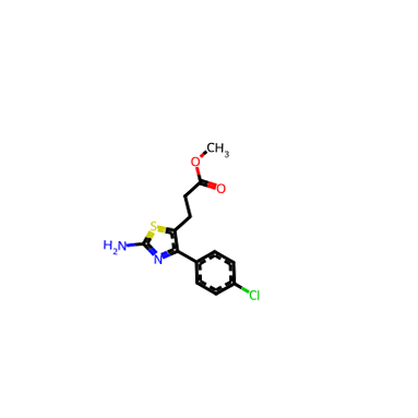 COC(=O)CCc1sc(N)nc1-c1ccc(Cl)cc1